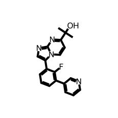 CC(C)(O)c1ccn2c(-c3cccc(-c4cccnc4)c3F)cnc2n1